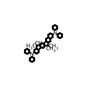 CC1(C)c2cc(N(c3ccccc3)c3ccccc3)ccc2-c2cc3c(cc21)-c1cc2ccc(N(c4ccccc4)c4ccccc4)cc2cc1C3(C)C